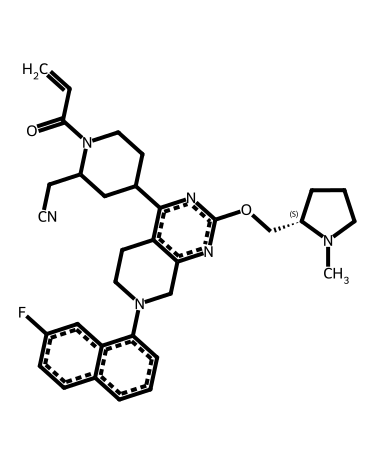 C=CC(=O)N1CCC(c2nc(OC[C@@H]3CCCN3C)nc3c2CCN(c2cccc4ccc(F)cc24)C3)CC1CC#N